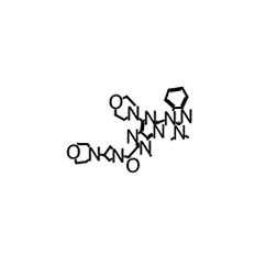 CN(C)c1nc2ccccc2n1-c1nc(N2CCOCC2)c2nc(C(=O)N3CC(N4CCOCC4)C3)n(C)c2n1